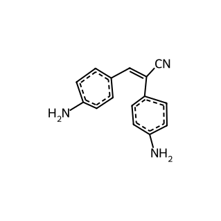 N#CC(=Cc1ccc(N)cc1)c1ccc(N)cc1